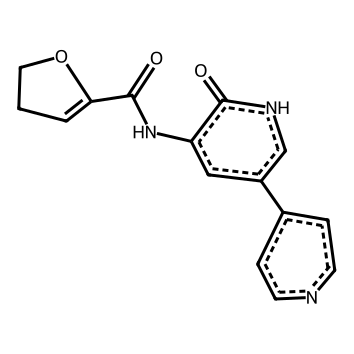 O=C(Nc1cc(-c2ccncc2)c[nH]c1=O)C1=CCCO1